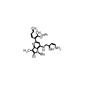 C=C/C=C\C(=C(/C)OCCC)c1cc(NCC(=N)/C=C\N)c2c(n1)c(C)c(CC)n2C(C)CC